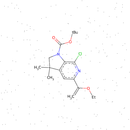 C=C(OCC)c1cc2c(c(Cl)n1)N(C(=O)OC(C)(C)C)CC2(C)C